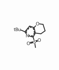 CC(C)(C)c1cc2c(c(S(C)(=O)=O)n1)CCCO2